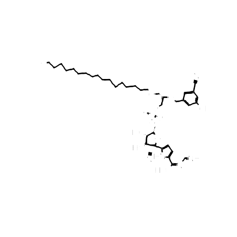 CCCCCCCCCCCCCCCCCCOC[C@H](COP(=O)(O)OC[C@H]1O[C@@](C#N)(c2ccc(/C(C)=N\C=N)[nH]2)[C@H](O)[C@@H]1O)OCc1cc(Cl)cc(C#N)c1